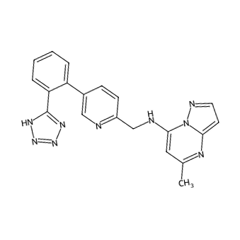 Cc1cc(NCc2ccc(-c3ccccc3-c3nnn[nH]3)cn2)n2nccc2n1